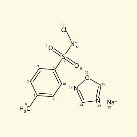 Cc1ccc(S(=O)(=O)[N-]Cl)cc1.[Na+].c1ncon1